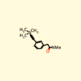 CNC(=O)Cc1cccc(C#C[Si](C)(C)C)c1